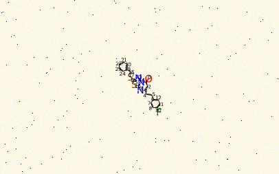 O=c1cc(/C=C/c2ccc(F)cc2)nc2sc(SCc3ccccc3)nn12